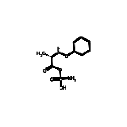 C[C@H](NOC1CCCCC1)C(=O)OP(N)(=O)O